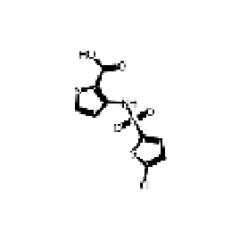 O=C(O)c1sccc1NS(=O)(=O)c1ccc(Cl)s1